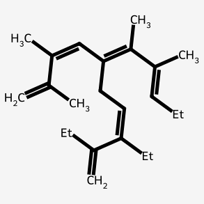 C=C(C)C(C)=CC(CC=C(CC)C(=C)CC)=C(C)C(C)=CCC